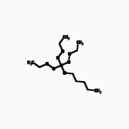 CCCCCO[Si](OOCC)(OOCC)OOCC